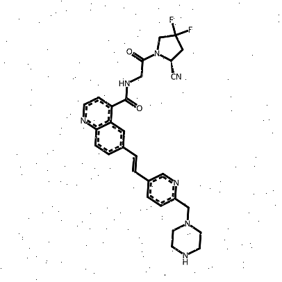 N#C[C@@H]1CC(F)(F)CN1C(=O)CNC(=O)c1ccnc2ccc(/C=C/c3ccc(CN4CCNCC4)nc3)cc12